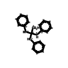 O=C(O)C(Pc1ccccc1)(Pc1ccccc1)Pc1ccccc1